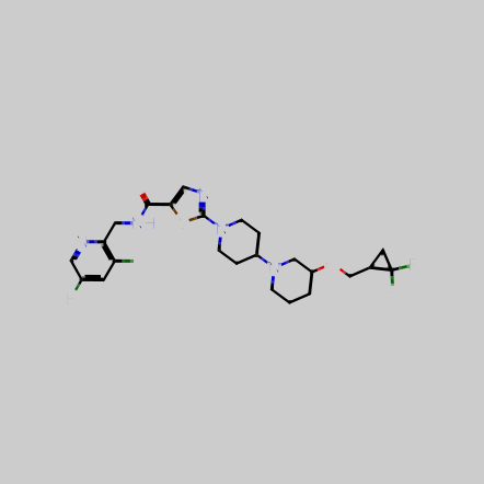 O=C(NCc1ncc(F)cc1F)c1cnc(N2CCC(N3CCCC(OCC4CC4(F)F)C3)CC2)s1